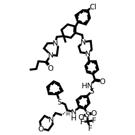 CCCC(=O)N1CCN(CC2(C)CCC(c3ccc(Cl)cc3)=C(CN3CCN(c4ccc(C(=O)NSc5ccc(N[C@H](CCN6CCOCC6)CSc6ccccc6)c(S(=O)(=O)C(F)(F)F)c5)cc4)CC3)C2)CC1